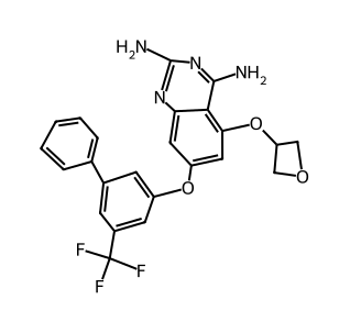 Nc1nc(N)c2c(OC3COC3)cc(Oc3cc(-c4ccccc4)cc(C(F)(F)F)c3)cc2n1